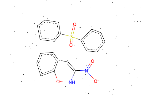 O=S(=O)(c1ccccc1)c1ccccc1.O=[N+]([O-])C1=Cc2ccccc2ON1